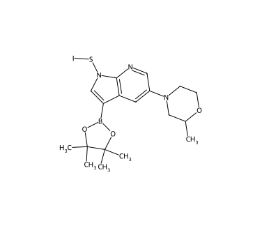 CC1CN(c2cnc3c(c2)c(B2OC(C)(C)C(C)(C)O2)cn3SI)CCO1